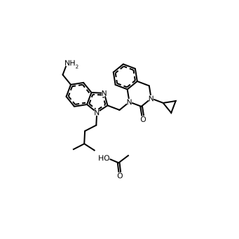 CC(=O)O.CC(C)CCn1c(CN2C(=O)N(C3CC3)Cc3ccccc32)nc2cc(CN)ccc21